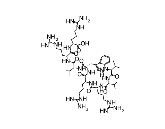 CC(C)[C@H](N)C(=O)N[C@H](C(=O)N[C@@H](CCCNC(=N)N)C(=O)N[C@@H](CCCNC(=N)N)C(=O)N[C@@H](Cc1c[nH]c2ccccc12)C(=O)N[C@H](C(=O)N[C@@H](CCCNC(=N)N)C(=O)N[C@@H](CCCNC(=N)N)C(=O)O)C(C)C)C(C)C